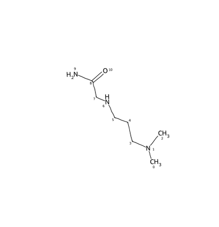 CN(C)CCCNCC(N)=O